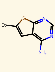 CCc1cc2c(N)ncnc2s1